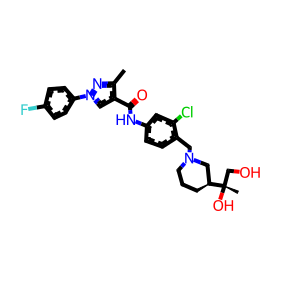 Cc1nn(-c2ccc(F)cc2)cc1C(=O)Nc1ccc(CN2CCC[C@H]([C@@](C)(O)CO)C2)c(Cl)c1